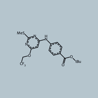 CSc1nc(Nc2ccc(C(=O)OC(C)(C)C)cc2)cc(OCC(F)(F)F)n1